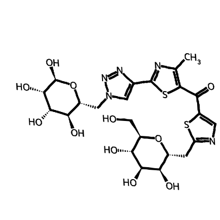 Cc1nc(-c2cn(C[C@H]3O[C@H](O)[C@@H](O)[C@@H](O)[C@@H]3O)nn2)sc1C(=O)c1cnc(C[C@H]2O[C@H](CO)[C@@H](O)[C@H](O)[C@@H]2O)s1